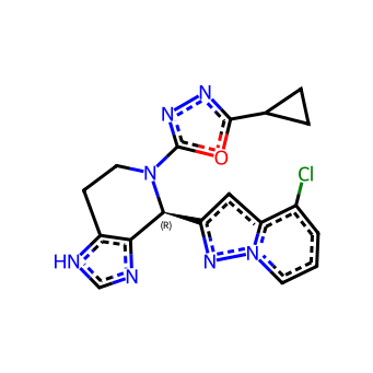 Clc1cccn2nc([C@H]3c4nc[nH]c4CCN3c3nnc(C4CC4)o3)cc12